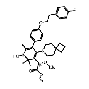 CC1=C(c2ccc(OCCc3ccc(F)cc3)cc2)C(N2CCC3(CCC3)CC2)=C([C@H](OC(C)(C)C)C(=O)OC(C)C)C(C)(C)N1O